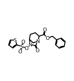 O=C(OCc1ccccc1)C1CCC2CN1C(=O)N2OS(=O)(=O)c1cccs1